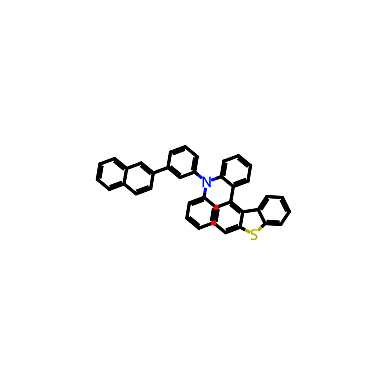 c1ccc(N(c2cccc(-c3ccc4ccccc4c3)c2)c2ccccc2-c2cccc3sc4ccccc4c23)cc1